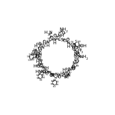 CCCC[C@H]1C(=O)N(C)[C@@H](CCCC)C(=O)N[C@@H](CCCN)C(=O)N[C@H](C(=O)NCC(N)=O)CSCC(=O)N[C@@H](Cc2ccc(O)cc2)C(=O)N(C)[C@@H](C)C(=O)N[C@@H](CC(N)=O)C(=O)N2CCC[C@H]2C(=O)N[C@@H](CN)C(=O)N[C@@H](CC(C)C)C(=O)N2C[C@H](c3ccccc3)C[C@H]2C(=O)N[C@@H](Cc2c[nH]c3ccccc23)C(=O)N[C@@H](CO)C(=O)N[C@@H](Cc2c[nH]c3ccccc23)C(=O)N1C